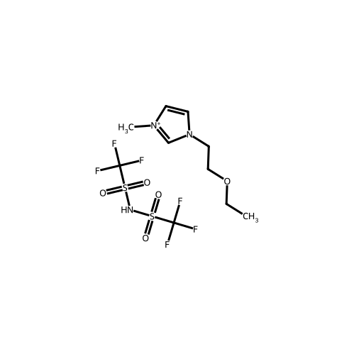 CCOCCn1cc[n+](C)c1.O=S(=O)(NS(=O)(=O)C(F)(F)F)C(F)(F)F